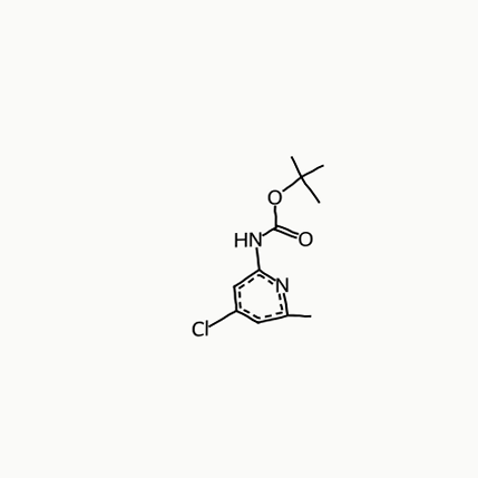 Cc1cc(Cl)cc(NC(=O)OC(C)(C)C)n1